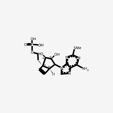 CSc1nc(N)c2ncn(C3[C@H]4C#C[C@@]4(CCOP(=O)(O)O)[C@@H](O)[C@H]3O)c2n1